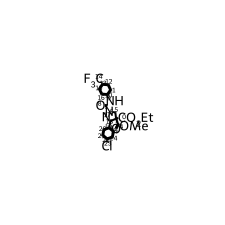 CCOC(=O)C1(C(=O)OC)CN(C(=O)Nc2ccc(C(F)(F)F)cc2)N=C1c1ccc(Cl)cc1